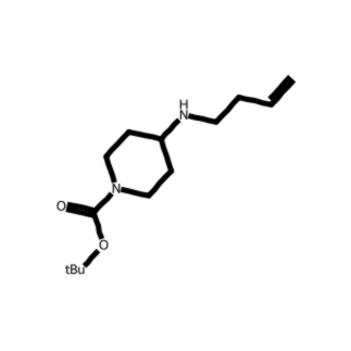 C=CCCNC1CCN(C(=O)OC(C)(C)C)CC1